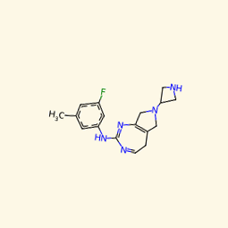 Cc1cc(F)cc(NC2=NC3=C(CC=N2)CN(C2CNC2)C3)c1